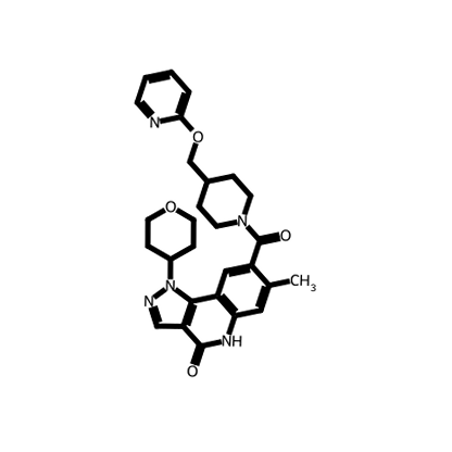 Cc1cc2[nH]c(=O)c3cnn(C4CCOCC4)c3c2cc1C(=O)N1CCC(COc2ccccn2)CC1